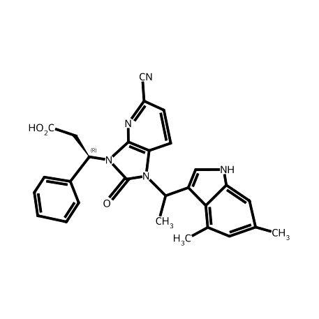 Cc1cc(C)c2c(C(C)n3c(=O)n([C@H](CC(=O)O)c4ccccc4)c4nc(C#N)ccc43)c[nH]c2c1